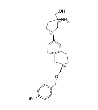 CC(C)c1ccc(COC[C@@H]2CCc3cc([C@H]4CC[C@](N)(CO)C4)ccc3C2)cc1